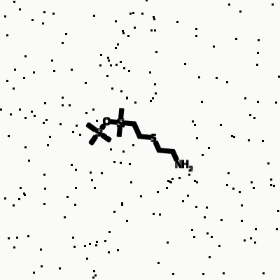 C[Si](C)(C)O[Si](C)(C)CCSCCN